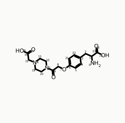 NC(Cc1ccc(OCC(=O)N2CCN(CC(=O)O)CC2)cc1)C(=O)O